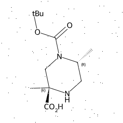 C[C@@H]1CN[C@@](C)(C(=O)O)CN1C(=O)OC(C)(C)C